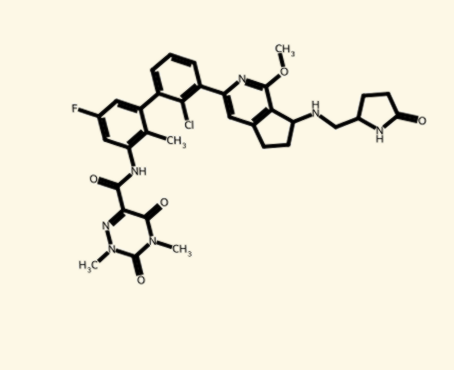 COc1nc(-c2cccc(-c3cc(F)cc(NC(=O)c4nn(C)c(=O)n(C)c4=O)c3C)c2Cl)cc2c1C(NCC1CCC(=O)N1)CC2